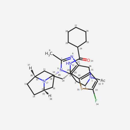 CC(=O)N1CCc2c(nc(C)n2[C@H]2C[C@H]3CC[C@@H](C2)N3CC[C@H](NC(=O)C2CCCCC2)c2ccc(F)s2)C1